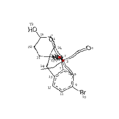 O=C1NC(=O)C2(N1)c1cc(Br)ccc1CC21CCC(O)CC1